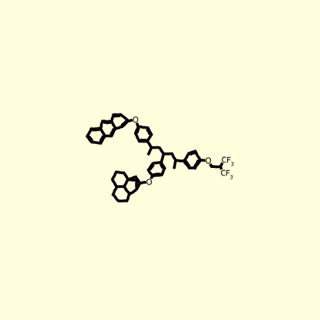 CC(CC(CC(C)c1ccc(Oc2ccc3cc4ccccc4cc3c2)cc1)c1ccc(OC2CC34CCCC5CCCC(C2C3)C54)cc1)c1ccc(OCC(C(F)(F)F)C(F)(F)F)cc1